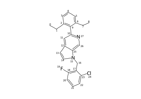 CCc1cccc(CC)c1-c1cc2ccn(Cc3c(F)cccc3Cl)c2cn1